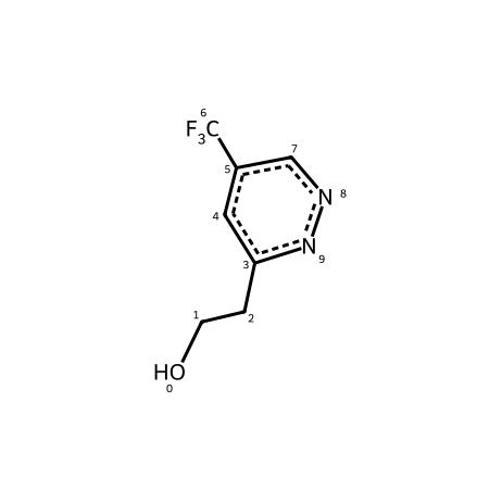 OCCc1cc(C(F)(F)F)cnn1